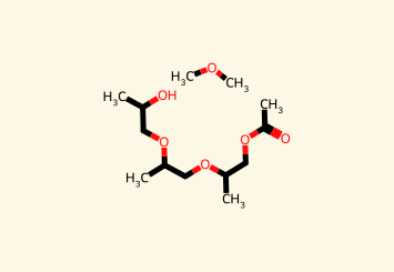 CC(=O)OCC(C)OCC(C)OCC(C)O.COC